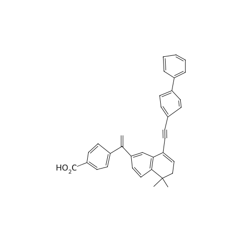 C=C(c1ccc(C(=O)O)cc1)c1ccc2c(c1)C(C#Cc1ccc(-c3ccccc3)cc1)=CCC2(C)C